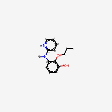 CCCOc1c(O)cccc1N(C)c1ccccn1